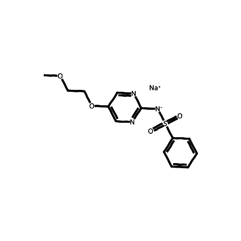 COCCOc1cnc([N-]S(=O)(=O)c2ccccc2)nc1.[Na+]